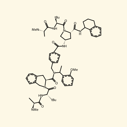 CN[C@@H](C)C(=O)N[C@H](C(=O)N1C[C@@H](NC(=O)c2ccc(CN(C(=O)[C@@H]3Cc4ccccc4CN3C(=O)[C@@H](NC(=O)[C@H](C)NC)C(C)(C)C)C(C)c3ccccc3OC)cc2)C[C@H]1C(=O)NC1CCCc2ccccc21)C(C)(C)C